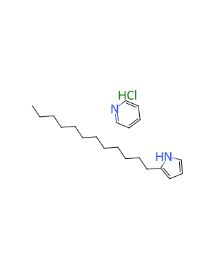 CCCCCCCCCCCCc1ccc[nH]1.Cl.c1ccncc1